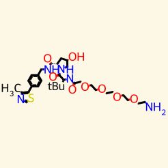 Cc1ncsc1-c1ccc(CNC(=O)[C@@H]2C[C@@H](O)CN2C(=O)C(NC(=O)COCCOCCOCCOCCN)C(C)(C)C)cc1